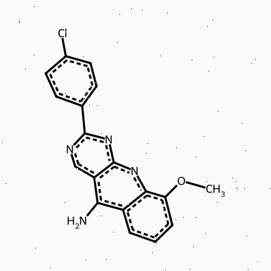 COc1cccc2c(N)c3cnc(-c4ccc(Cl)cc4)nc3nc12